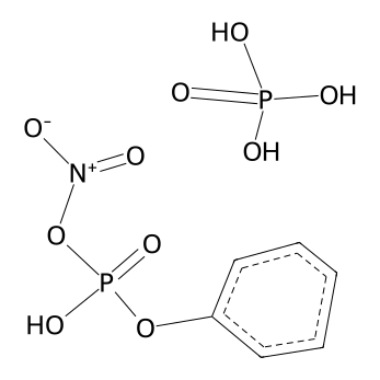 O=P(O)(O)O.O=[N+]([O-])OP(=O)(O)Oc1ccccc1